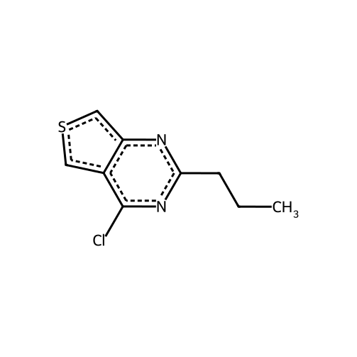 CCCc1nc(Cl)c2cscc2n1